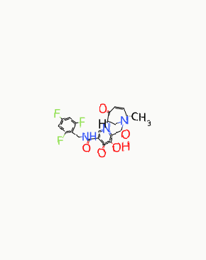 C[C@H]1C=CC(=O)[C@H]2CN1C(=O)c1c(O)c(=O)c(C(=O)NCc3c(F)cc(F)cc3F)cn12